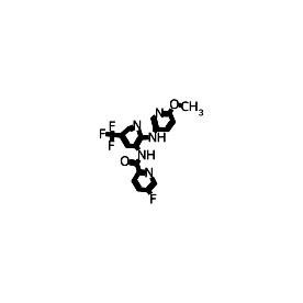 COc1ccc(Nc2ncc(C(F)(F)F)cc2NC(=O)c2ccc(F)cn2)cn1